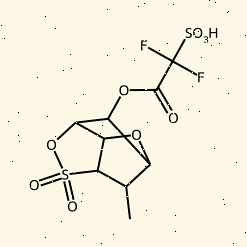 CC1C2OC3C(OS(=O)(=O)C13)C2OC(=O)C(F)(F)S(=O)(=O)O